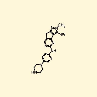 CC(C)c1c2c(nn1C)Cc1cnc(Nc3ccc(N4CCNCC4)cn3)nc1-2